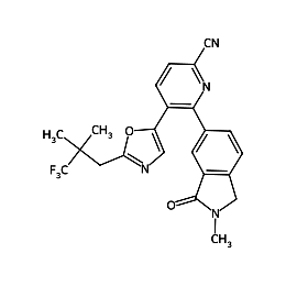 CN1Cc2ccc(-c3nc(C#N)ccc3-c3cnc(CC(C)(C)C(F)(F)F)o3)cc2C1=O